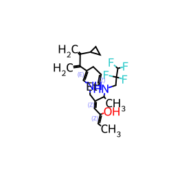 C=C(C(=C)C1CC1)/C(=C/NC/C(=C/C(O)=C/C)C(C)NCC(F)(F)C(F)F)C/C=C\CC